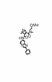 COCCN(C)C(=O)c1cnn(C)c1C(=O)Nc1ccn2cc(-c3ccccc3)nc2c1